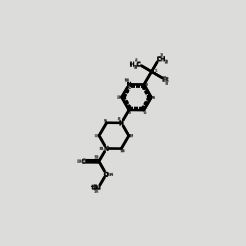 CCC(C)(C)c1ccc(N2CCN(C(=O)OC(C)(C)C)CC2)cn1